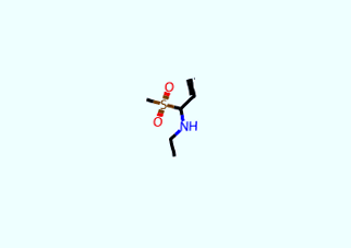 [CH]=CC(NCC)S(C)(=O)=O